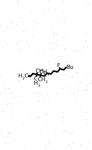 C=CCC(C)(C)C(C)(C)CCCCCC(F)CC(C)CC